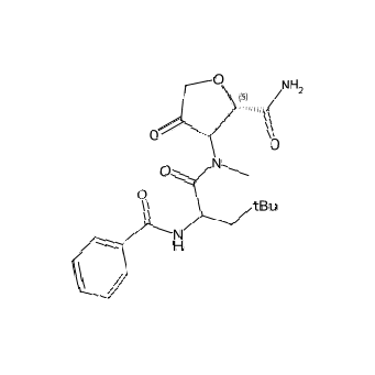 CN(C(=O)C(CC(C)(C)C)NC(=O)c1ccccc1)C1C(=O)CO[C@@H]1C(N)=O